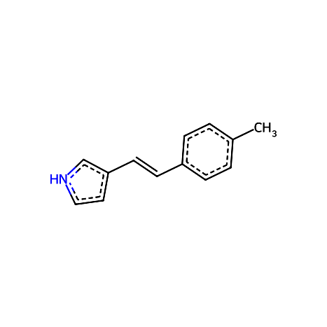 Cc1ccc(/C=C/c2cc[nH]c2)cc1